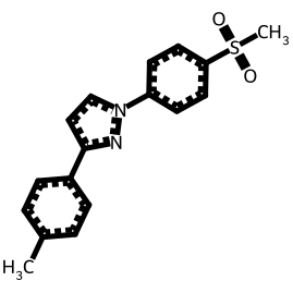 Cc1ccc(-c2ccn(-c3ccc(S(C)(=O)=O)cc3)n2)cc1